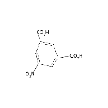 O=C(O)c1cc([14C](=O)O)cc([N+](=O)[O-])c1